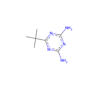 CC(C)(C)c1nc(N)nc(N)n1